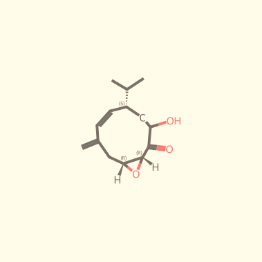 C=C1C=C[C@H](C(C)C)CC(O)C(=O)[C@@H]2O[C@@H]2C1